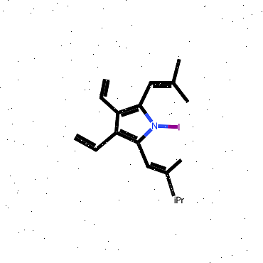 C=Cc1c(C=C)c(/C=C(\C)C(C)C)n(I)c1C=C(C)C